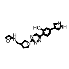 Oc1cc(-c2cn[nH]c2)ccc1-c1cnc(N2CCC(CNC3CCO3)C2)nn1